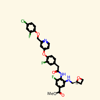 COC(=O)c1cc(F)c(NC(=O)Cc2ccc(Oc3ccnc(COc4ccc(Cl)cc4F)c3)c(F)c2)c(NC[C@@H]2CCO2)c1